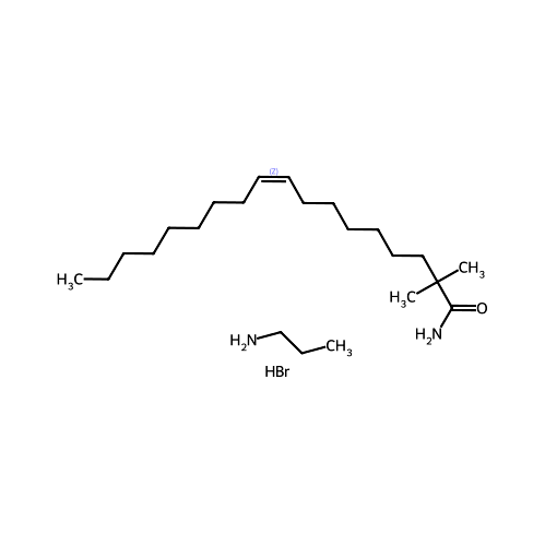 Br.CCCCCCCC/C=C\CCCCCCC(C)(C)C(N)=O.CCCN